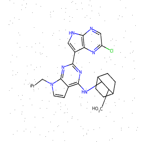 CC(C)Cn1ccc2c(NC3C4CCC(CC4)C3C(=O)O)nc(-c3c[nH]c4ncc(Cl)nc34)nc21